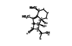 CO[C@H]1CCC[C@H]2C1=C(C(=O)O)N1C(=O)[C@H](C(C)O)[C@@H]21